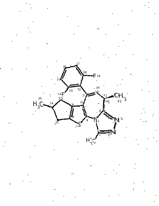 Cc1nnc2n1-c1sc3c(c1C(c1c(F)cccc1F)=N[C@H]2C)CC(C)C3